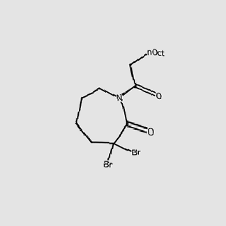 CCCCCCCCCC(=O)N1CCCCC(Br)(Br)C1=O